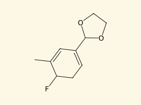 CC1=CC(C2OCCO2)=CCC1F